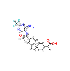 CC(C(=O)O)C1CCC2(CCc3cc(C4=Nc5c(N)nc(C(F)(F)F)nc5OC4(C)C)ccc32)CC1